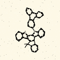 CC1(C)c2ccccc2-c2c1c1c3ccccc3sc1c1c2c2ccccc2n1-c1ccc2c3ccccc3c3ccccc3c2c1